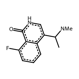 CNC(C)c1c[nH]c(=O)c2c(F)cccc12